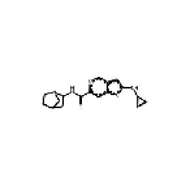 O=C(NC1CC2CCN1C2)c1cc2sc(NC3CC3)cc2cn1